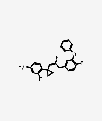 F/C(=C/C1(c2ccc(C(F)(F)F)cc2F)CC1)Cc1ccc(F)c(Oc2ccccc2)c1